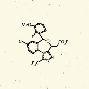 CCOC(=O)CC1OC(c2cccc(OC)c2F)c2cc(Cl)ccc2-n2c1nnc2C(F)(F)F